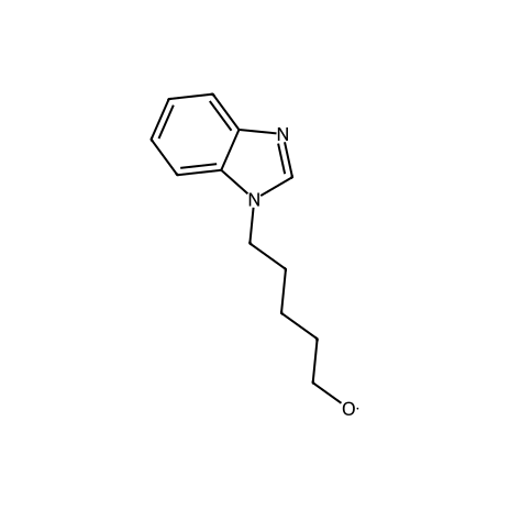 [O]CCCCCn1cnc2ccccc21